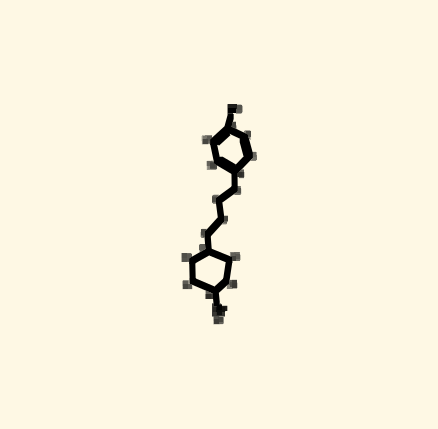 Fc1ccc(CCCCC2CCC(Br)CC2)cc1